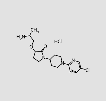 CC(N)COC1CCN(C2CCN(c3ncc(Cl)cn3)CC2)C1=O.Cl